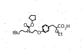 CCOC(Cc1ccc(OCCN(CCC(C)(C)C)C(=O)OC2CCCC2)cc1)C(=O)O